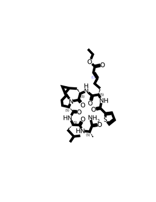 CCOC(=O)/C=C/CC[C@H](NC(=O)c1cccs1)C(=O)N[C@@H](CC1CC1)C(=O)N1CCC[C@H]1C(=O)N[C@@H](CC(C)C)C(=O)N[C@@H](C)C(N)=O